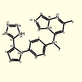 Cc1cc(N(C)c2ccc(-n3cccc3-c3nnn[nH]3)cc2)n2cncc2n1